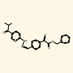 CC(C)C(=O)c1ccc(N/N=C\c2ccc(C(=O)C(=O)OCc3ccccc3)cc2)nc1